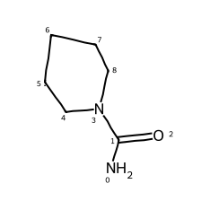 NC(=O)N1C[CH]CCC1